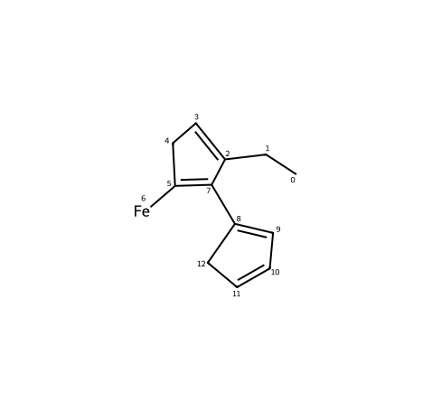 CCC1=CC[C]([Fe])=C1C1=CC=CC1